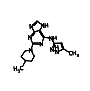 Cc1cc(Nc2nc(N3CCC(C)CC3)nc3nc[nH]c23)n[nH]1